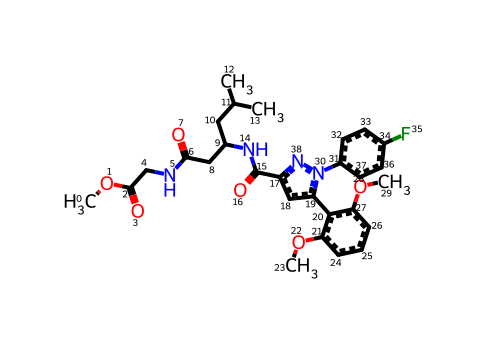 COC(=O)CNC(=O)CC(CC(C)C)NC(=O)c1cc(-c2c(OC)cccc2OC)n(-c2ccc(F)cc2)n1